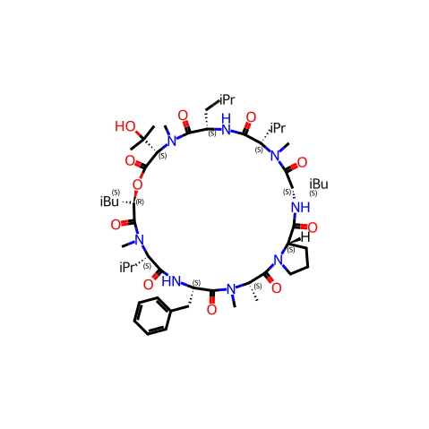 CC[C@H](C)[C@@H]1NC(=O)[C@@H]2CCCN2C(=O)[C@H](C)N(C)C(=O)[C@H](Cc2ccccc2)NC(=O)[C@H](C(C)C)N(C)C(=O)[C@@H]([C@@H](C)CC)OC(=O)[C@H](C(C)(C)O)N(C)C(=O)[C@H](CC(C)C)NC(=O)[C@H](C(C)C)N(C)C1=O